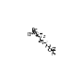 C=CC(=O)OCCCCCCCC[SiH2]C(Br)Br